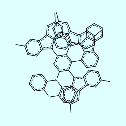 Cc1ccc2c(c1)c1cc(C)ccc1n2-c1nc(N2c3ccccc3Sc3ccccc32)c(-n2c3ccc(C)cc3c3cc(C)ccc32)c(-c2cccc3c4ccccc4n(-c4ccccc4)c23)c1-n1c2ccc(C)cc2c2cc(C)ccc21